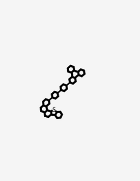 c1ccc2c(c1)sc1c2ccc2ccc3ccc(-c4ccc(-c5ccc(-c6ccc7c8ccccc8c8ccccc8c7c6)cc5)cc4)cc3c21